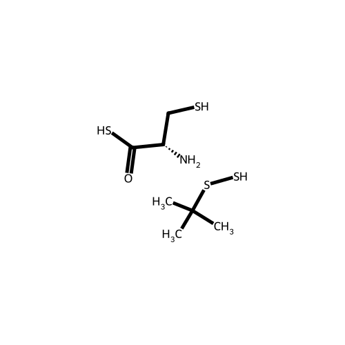 CC(C)(C)SS.N[C@@H](CS)C(=O)S